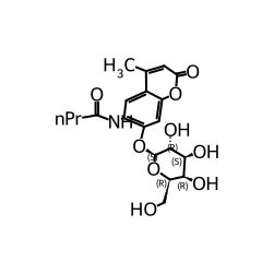 CCCC(=O)Nc1cc2c(C)cc(=O)oc2cc1O[C@@H]1O[C@H](CO)[C@H](O)[C@H](O)[C@H]1O